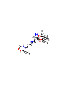 CC1COCCN1CCCN/C=C(\C=N)B1OC(C)(C)C(C)(C)O1